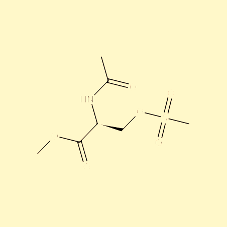 COC(=O)[C@H](COS(C)(=O)=O)NC(C)=O